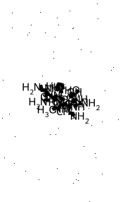 CC[C@H](C)[C@H](NC(=O)[C@@H](Cc1ccccc1)NC(=O)[C@H](CCN)NC(=O)[C@@H](N)CCN)C(=O)N[C@@H](CCN)C(=O)N[C@@H](CCN)C(=O)N[C@@H](CO)C(=O)O